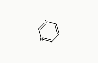 [C]1=[N+]C=NC=C1